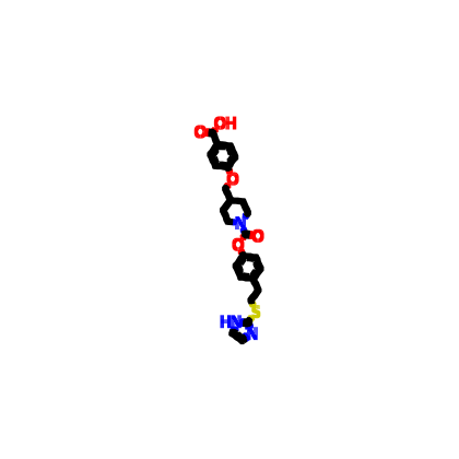 O=C(O)c1ccc(OCC2CCN(C(=O)Oc3ccc(CCSc4ncc[nH]4)cc3)CC2)cc1